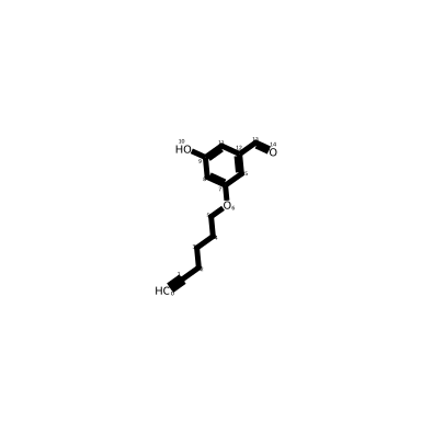 C#CCCCCOc1cc(O)cc(C=O)c1